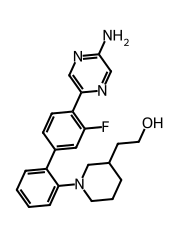 Nc1cnc(-c2ccc(-c3ccccc3N3CCCC(CCO)C3)cc2F)cn1